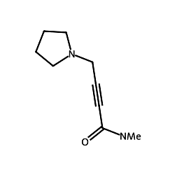 CNC(=O)C#CCN1CCCC1